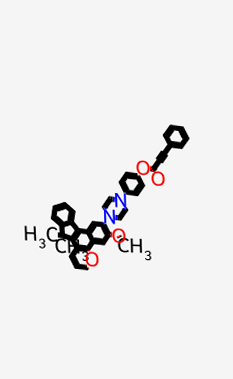 COc1cc2c3c(c4c(c2cc1N1CCN(c2ccc(OC(=O)C#Cc5ccccc5)cc2)CC1)-c1ccccc1C4(C)C)C=CCO3